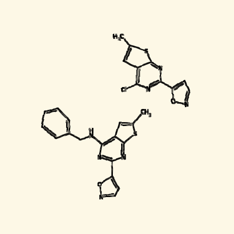 Cc1cc2c(Cl)nc(-c3ccno3)nc2s1.Cc1cc2c(NCc3ccccc3)nc(-c3ccno3)nc2s1